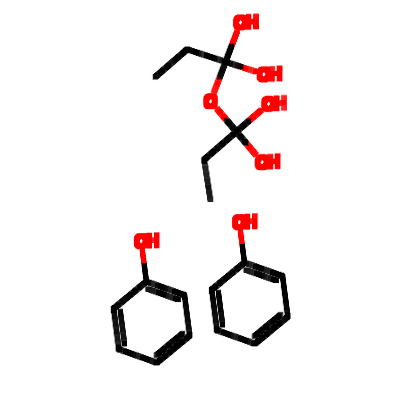 CCC(O)(O)OC(O)(O)CC.Oc1ccccc1.Oc1ccccc1